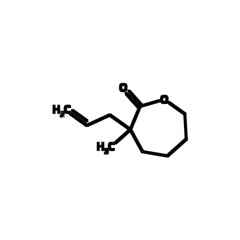 C=CCC1(C)CCCCOC1=O